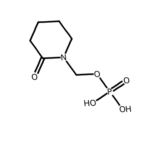 O=C1CCCCN1COP(=O)(O)O